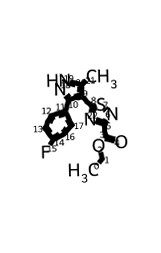 CCOC(=O)c1nsc(-c2c(-c3ccc(F)cc3)n[nH]c2C)n1